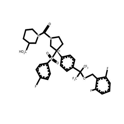 O=C(O)C1CCCN(C(=O)N2CC[C@](c3ccc(C(OCc4c(F)cccc4F)(C(F)(F)F)C(F)(F)F)cc3)(S(=O)(=O)c3ccc(F)cc3)C2)C1